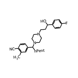 CCCCCC(c1ccc(C#N)c(C)c1)N1CCN(CCC(O)c2ccc(F)cc2)CC1